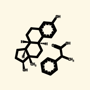 CC(C(=O)O)c1ccccc1.C[C@]12CC[C@@H]3c4ccc(O)cc4CC[C@H]3[C@@H]1CC[C@@H]2O